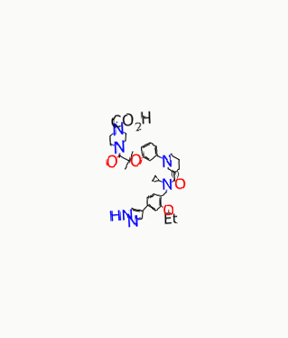 CCOc1cc(-c2cn[nH]c2)ccc1CN(C(=O)[C@@H]1CCCN(c2cccc(OC(C)(C)C(=O)N3CCN(C(=O)O)CC3)c2)C1)C1CC1